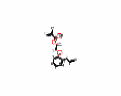 C=CCc1ccccc1OCCOC(=O)C(=C)C